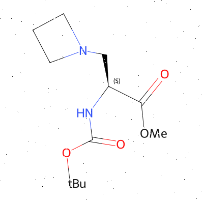 COC(=O)[C@H](CN1CCC1)NC(=O)OC(C)(C)C